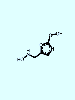 ONCc1cnc(OO)o1